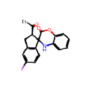 CCC(=O)C1Cc2cc(I)ccc2C12Nc1ccccc1OC2=O